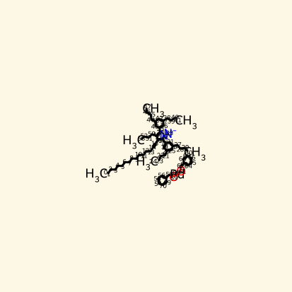 CCCCCCCCCCCCCCC#CC1=C(c2cc(CCCC)cc(CCCC)c2)[N+](=[N-])C(c2cc(CCCC)cc(CCCC)c2)=C1CCCC.c1ccc(C[O][Pd][O]Cc2ccccc2)cc1